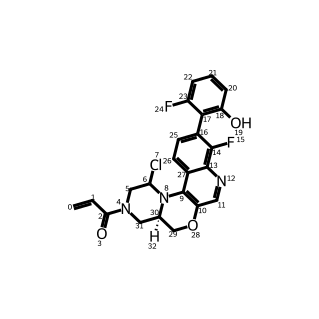 C=CC(=O)N1CC(Cl)N2c3c(cnc4c(F)c(-c5c(O)cccc5F)ccc34)OC[C@H]2C1